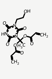 C=CC(=O)OC(C)(OC(=O)C=C)n1c(=O)[nH]c(=O)n(CCO)c1=O